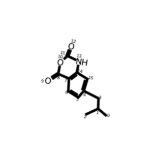 CC(C)Cc1ccc2c(=O)oc(=O)[nH]c2c1